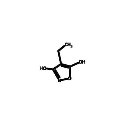 CCc1c(O)noc1O